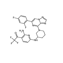 Nc1nc(NC2CCCN(c3nc(-c4ccc(F)cc4F)cn4ncnc34)C2)ccc1C(=O)C(F)(F)F